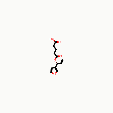 C=C[C@@H](OC(=O)CCCC(=O)O)c1ccoc1